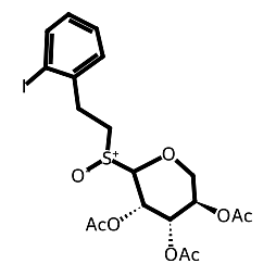 CC(=O)O[C@@H]1[C@H](OC(C)=O)C([S+]([O-])CCc2ccccc2I)OC[C@H]1OC(C)=O